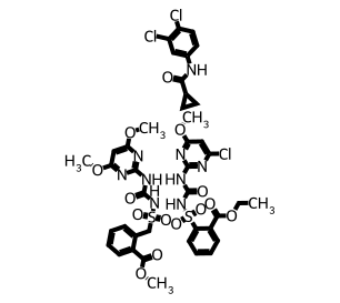 CCOC(=O)c1ccccc1S(=O)(=O)NC(=O)Nc1nc(Cl)cc(OC)n1.COC(=O)c1ccccc1CS(=O)(=O)NC(=O)Nc1nc(OC)cc(OC)n1.O=C(Nc1ccc(Cl)c(Cl)c1)C1CC1